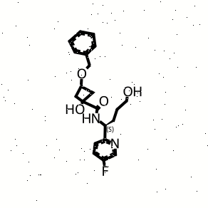 O=C(N[C@@H](CCCO)c1ccc(F)cn1)C1(O)CC(OCc2ccccc2)C1